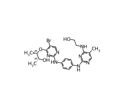 Cc1cnc(Nc2ccc(Nc3ncc(Br)c(O[C@H](C)[C@@H](C)O)n3)cc2)nc1NCCO